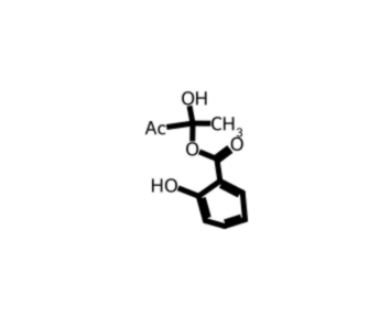 CC(=O)C(C)(O)OC(=O)c1ccccc1O